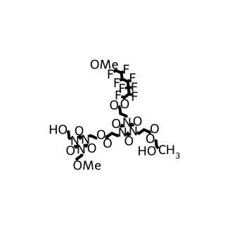 COCCn1c(=O)n(CCO)c(=O)n(CCOC(=O)CCn2c(=O)n(CCC(=O)OCC(C)O)c(=O)n(CCC(=O)OC(F)C(F)C(F)(F)C(F)C(F)C(F)C(F)OC)c2=O)c1=O